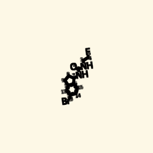 O=C(NCCF)NC1CCc2cc(Br)ccc21